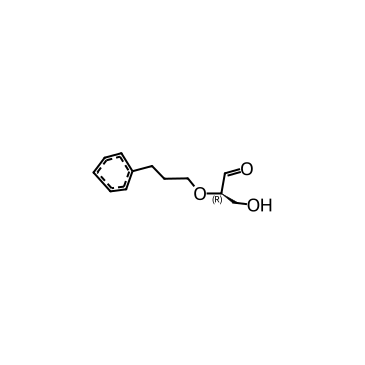 O=C[C@@H](CO)OCCCc1ccccc1